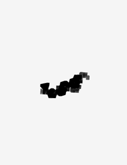 Cn1cc2cc(-c3ccc4nc(N5CCC(NC6CC6)C5)ccc4n3)c(O)c(F)c2n1